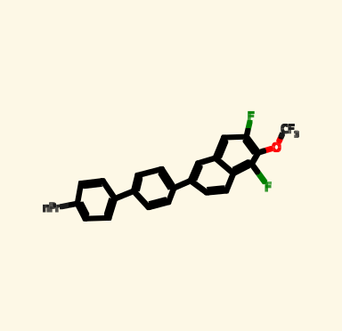 CCCc1ccc(-c2ccc(-c3ccc4c(F)c(OC(F)(F)F)c(F)cc4c3)cc2)cc1